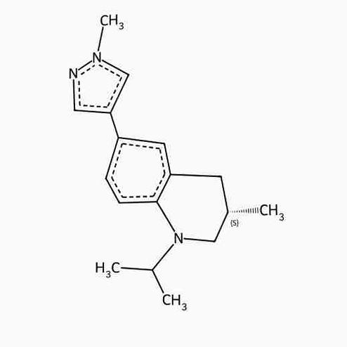 CC(C)N1C[C@@H](C)Cc2cc(-c3cnn(C)c3)ccc21